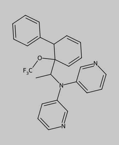 CC(N(c1cccnc1)c1cccnc1)C1(OC(F)(F)F)C=CC=CC1c1ccccc1